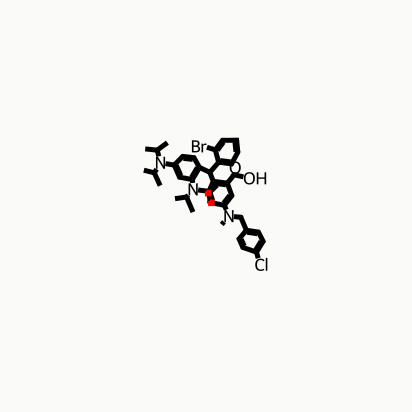 CC(C)N(c1ccc(C(c2ccccc2Br)c2ccc(N(C)Cc3ccc(Cl)cc3)cc2C(=O)O)c(N(C(C)C)C(C)C)c1)C(C)C